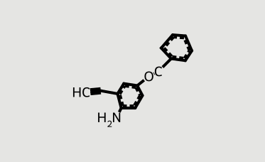 C#Cc1cc(OCc2ccccc2)ccc1N